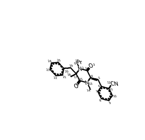 CC(C)N1C(=O)/C(=C/c2ccccc2C#N)N(C)C(=O)C1(C)Cc1ccccc1